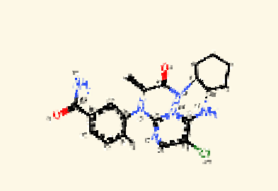 C=CC(=O)N[C@H]1CCCC[C@@H]1Nc1nc(Nc2cc(C(N)=O)ccc2C)ncc1Cl